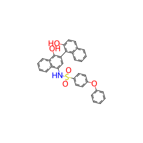 O=S(=O)(Nc1cc(-c2c(O)ccc3ccccc23)c(O)c2ccccc12)c1ccc(Oc2ccccc2)cc1